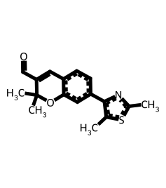 Cc1nc(-c2ccc3c(c2)OC(C)(C)C(C=O)=C3)c(C)s1